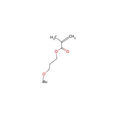 C=C(C)C(=O)OCCCOC(C)CC